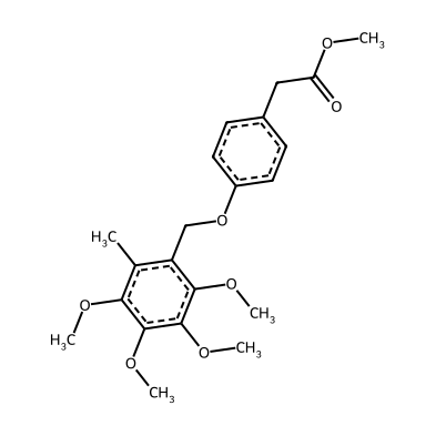 COC(=O)Cc1ccc(OCc2c(C)c(OC)c(OC)c(OC)c2OC)cc1